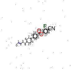 C/C=C/CC[C@H]1CC[C@H](c2ccc(C(=O)Oc3ccc(C#N)c(F)c3)cc2)CC1